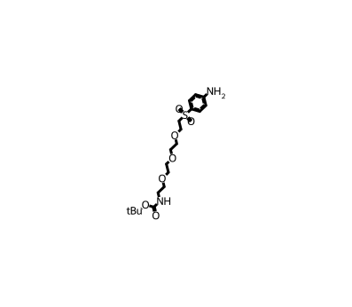 CC(C)(C)OC(=O)NCCOCCOCCOCCS(=O)(=O)c1ccc(N)cc1